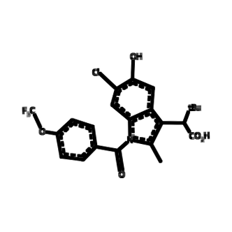 Cc1c(C(C(=O)O)C(C)(C)C)c2cc(O)c(Cl)cc2n1C(=O)c1ccc(OC(F)(F)F)cc1